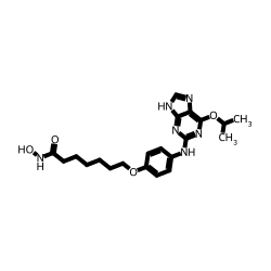 CC(C)Oc1nc(Nc2ccc(OCCCCCCC(=O)NO)cc2)nc2[nH]cnc12